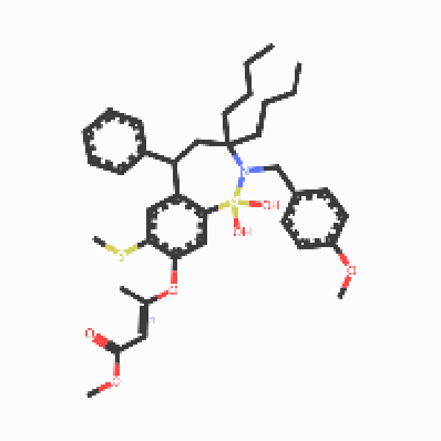 CCCCC1(CCCC)CC(c2ccccc2)c2cc(SC)c(O/C(C)=C/C(=O)OC)cc2S(O)(O)N1Cc1ccc(OC)cc1